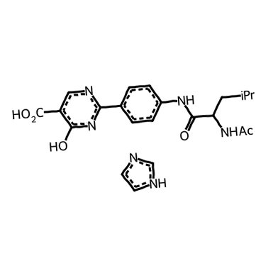 CC(=O)NC(CC(C)C)C(=O)Nc1ccc(-c2ncc(C(=O)O)c(O)n2)cc1.c1c[nH]cn1